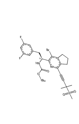 CC(C)(C)OC(=O)N[C@@H](Cc1cc(F)cc(F)c1)c1nc(C#CC(C)(C)S(C)(=O)=O)c2c(c1Br)CCC2